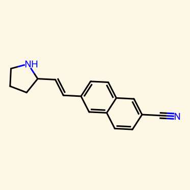 N#Cc1ccc2cc(C=CC3CCCN3)ccc2c1